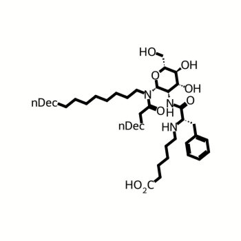 CCCCCCCCCCCCCCCCCCN(C(=O)CCCCCCCCCCC)[C@@H]1O[C@H](CO)[C@@H](O)[C@H](O)[C@@H]1NC(=O)[C@H](Cc1ccccc1)NCCCCCC(=O)O